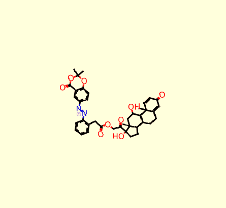 CC1(C)OC(=O)c2cc(/N=N/c3ccccc3CC(=O)OCC(=O)C3(O)CCC4C5CCC6=CC(=O)C=CC6(C)C5C(O)CC43C)ccc2O1